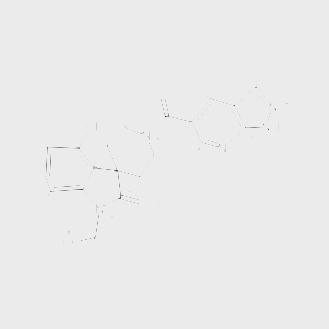 Cc1cccc2c1C1(CCN(C(=O)c3cnc4[nH]ncc4c3)CC1)C(=O)N2CC(=O)O